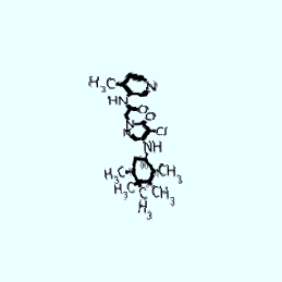 Cc1ccncc1NC(=O)Cn1ncc(N[C@@H]2C[C@H](C)C(C)(C)[C@H](C)[C@H]2C)c(Cl)c1=O